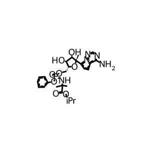 CC(C)OC(=O)C(C)(C)NP(=O)(OC[C@H]1O[C@@](C)(c2ccc3c(N)ncnn23)[C@H](O)[C@@H]1O)Oc1ccccc1